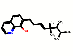 CC(C)C(C)C(C)(C)C=CCCc1ccc2cccnc2c1O